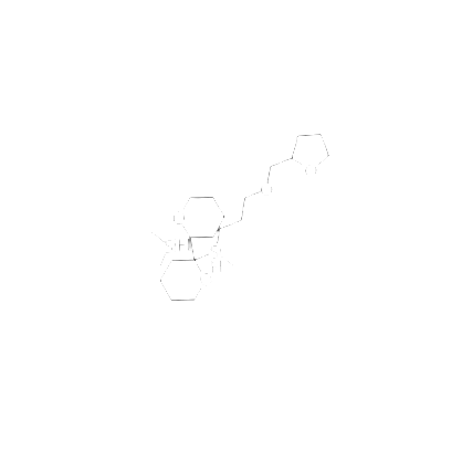 C[SiH](C)C1(C2([SiH](C)CCCOCC3CCCO3)CCCCO2)CCCCO1